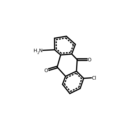 Nc1cccc2c1C(=O)c1cccc(Cl)c1C2=O